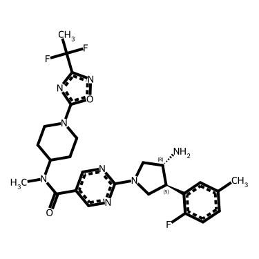 Cc1ccc(F)c([C@H]2CN(c3ncc(C(=O)N(C)C4CCN(c5nc(C(C)(F)F)no5)CC4)cn3)C[C@@H]2N)c1